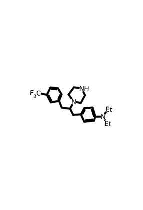 CCN(CC)c1ccc(CC(Cc2cccc(C(F)(F)F)c2)N2CCNCC2)cc1